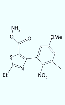 CCc1nc(-c2cc(OC)cc(C)c2[N+](=O)[O-])c(C(=O)ON)s1